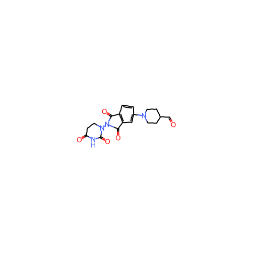 O=CC1CCN(c2ccc3c(c2)C(=O)N(N2CCC(=O)NC2=O)C3=O)CC1